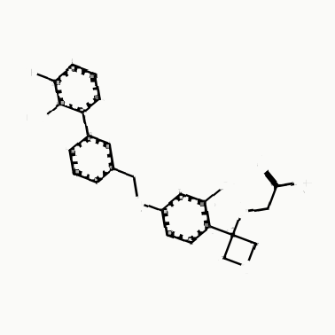 Cc1c(F)cccc1-c1cccc(COc2ccc(C3(OCC(=O)O)COC3)c(F)c2)c1